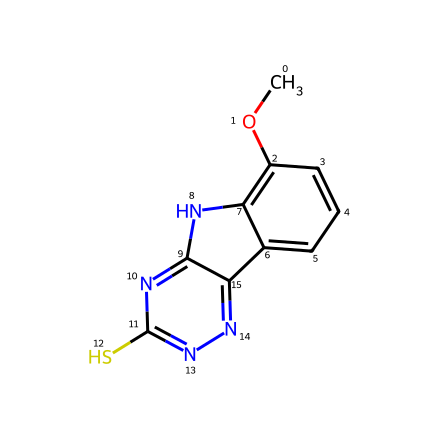 COc1cccc2c1[nH]c1nc(S)nnc12